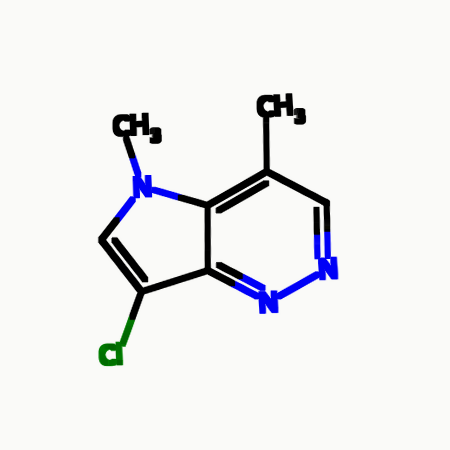 Cc1cnnc2c(Cl)cn(C)c12